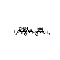 CC(C)CC(N)C(=O)OCCCOC(=O)C(N)CC(C)C